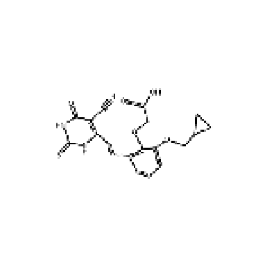 N#Cc1c(C=Cc2cccc(OCC3CC3)c2OCC(=O)O)[nH]c(=S)[nH]c1=O